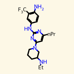 CCCc1cc(N2CCCC(NCC)C2)nc(Nc2ccc(N)c(C(F)(F)F)c2)n1